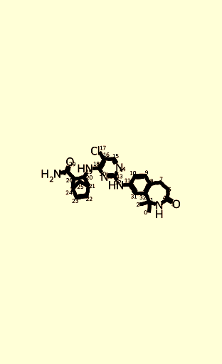 CC1(C)NC(=O)CCc2ccc(Nc3ncc(Cl)c(NC4C5C=CC(C5)C4C(N)=O)n3)cc21